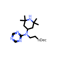 CCCCCCCCCCCCN(c1ncncn1)C1CC(C)(C)NC(C)(C)C1